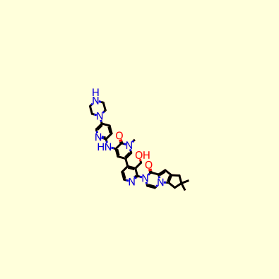 Cn1cc(-c2ccnc(-n3ccn4c5c(cc4c3=O)CC(C)(C)C5)c2CO)cc(Nc2ccc(N3CCNCC3)cn2)c1=O